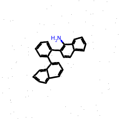 Nc1c(-c2ccccc2-c2cccc3ccccc23)ccc2ccccc12